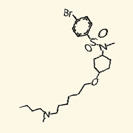 CCCCN(C)CCCCCCOC1CCC(N(C)S(=O)(=O)c2ccc(Br)cc2)CC1